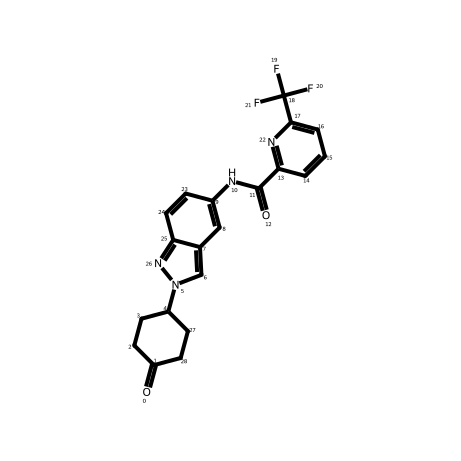 O=C1CCC(n2cc3cc(NC(=O)c4cccc(C(F)(F)F)n4)ccc3n2)CC1